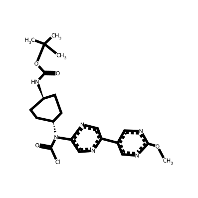 COc1ncc(-c2cnc(N(C(=O)Cl)[C@H]3CC[C@H](NC(=O)OC(C)(C)C)CC3)cn2)cn1